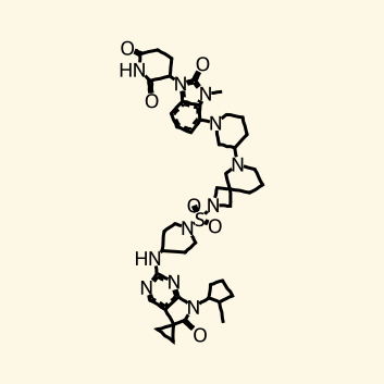 CC1CCCC1N1C(=O)C2(CC2)c2cnc(NC3CCN(S(=O)(=O)N4CC5(CCCN(C6CCCN(c7cccc8c7n(C)c(=O)n8C7CCC(=O)NC7=O)C6)C5)C4)CC3)nc21